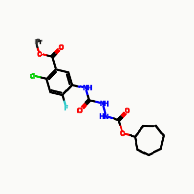 CC(C)OC(=O)c1cc(NC(=O)NNC(=O)OC2CCCCCC2)c(F)cc1Cl